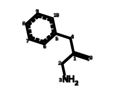 [CH]=C(CN)Cc1ccccc1